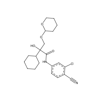 N#Cc1ccc(NC(=O)C(O)(COC2CCCCO2)C2CCCCC2)cc1Cl